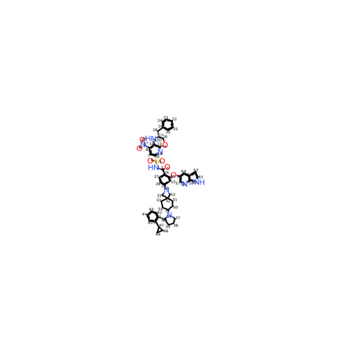 O=C(NS(=O)(=O)c1cc([N+](=O)[O-])c2c(n1)OC[C@H](Cc1ccccc1)N2)c1ccc(N2CC3(CCC(N4CCC[C@H]4c4ccccc4C4CC4)CC3)C2)cc1Oc1cnc2[nH]ccc2c1